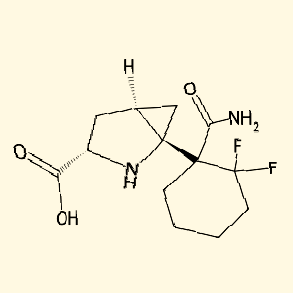 NC(=O)C1([C@]23C[C@@H]2C[C@@H](C(=O)O)N3)CCCCC1(F)F